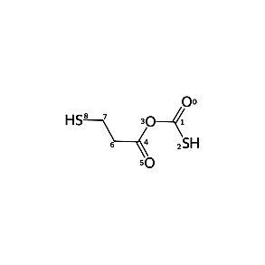 O=C(S)OC(=O)CCS